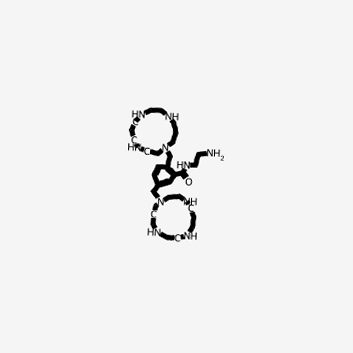 NCCNC(=O)c1cc(CN2CCCNCCNCCCNCC2)ccc1CN1CCCNCCNCCCNCC1